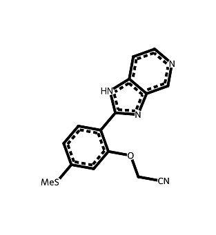 CSc1ccc(-c2nc3cnccc3[nH]2)c(OCC#N)c1